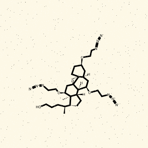 C[C@@H](CCCO)[C@H]1CC[C@H]2[C@@H]3[C@H](OCCN=[N+]=[N-])C[C@@H]4C[C@H](OCCN=[N+]=[N-])CC[C@]4(C)[C@H]3C[C@H](OCCN=[N+]=[N-])[C@]12C